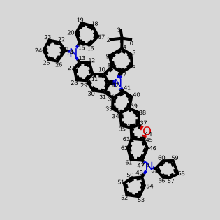 CC(C)(C)c1ccc2c(c1)c1c3cc(N(c4ccccc4)c4ccccc4)ccc3cc3c4cc5cc6c(cc5cc4n2c31)oc1cc(N(c2ccccc2)c2ccccc2)ccc16